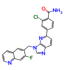 NC(=O)c1ccc(-c2ccc3ncn(Cc4cc5cccnc5cc4F)c3n2)cc1Cl